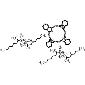 C=C(CCCCCC)[Si](C)(C)O[Si](C)(C)C(=C)CCCCCC.C=C(CCCCCC)[Si](C)(C)O[Si](C)(C)C(=C)CCCCCC.c1ccc2c(c1)-c1nc-2nc2[nH]c(nc3nc(nc4[nH]c(n1)c1ccccc41)-c1ccccc1-3)c1ccccc21